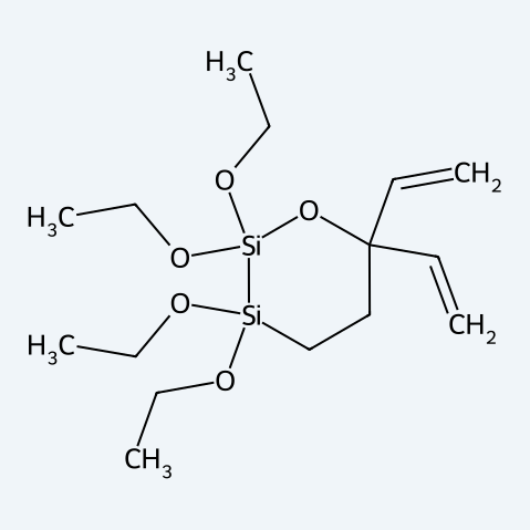 C=CC1(C=C)CC[Si](OCC)(OCC)[Si](OCC)(OCC)O1